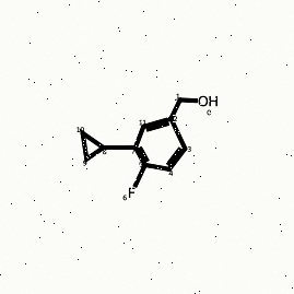 O[CH]c1ccc(F)c(C2CC2)c1